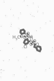 COc1ccccc1S(=O)(=O)Nc1ccc(Cl)cc1NS(=O)(=O)c1cc2ccccc2o1